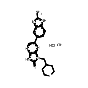 Cl.Cl.Nc1nc2cc(-c3cnc4[nH]c(=O)n(CC5CCOCC5)c4n3)ccc2[nH]1